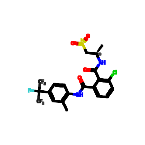 Cc1cc(C(F)(C(F)(F)F)C(F)(F)F)ccc1NC(=O)c1cccc(Cl)c1C(=O)N[C@@H](C)C[SH](=O)=O